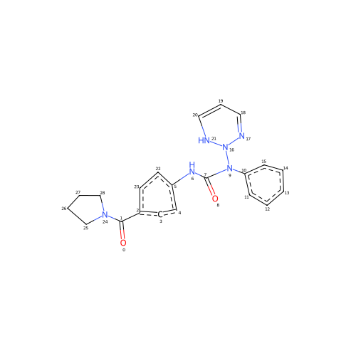 O=C(c1ccc(NC(=O)N(c2ccccc2)N2N=CC=CN2)cc1)N1CCCC1